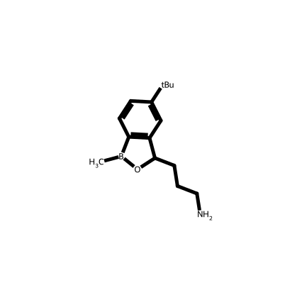 CB1OC(CCCN)c2cc(C(C)(C)C)ccc21